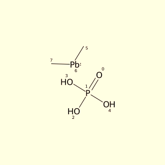 O=P(O)(O)O.[CH3][Pb][CH3]